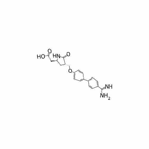 N=C(N)c1ccc(-c2ccc(OC[C@@H]3C[C@@H](CC(=O)O)NC3=O)cc2)cc1